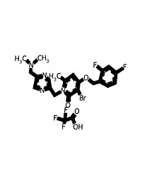 Cc1cc(OCc2ccc(F)cc2F)c(Br)c(=O)n1Cc1cnc(CN(C)C)cn1.O=C(O)C(F)(F)F